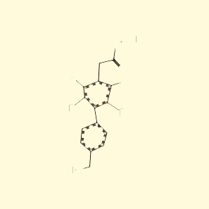 COC(=O)Cc1c(F)c(F)c(-c2ccc(CO)cc2)c(F)c1F